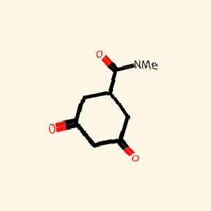 CNC(=O)C1CC(=O)CC(=O)C1